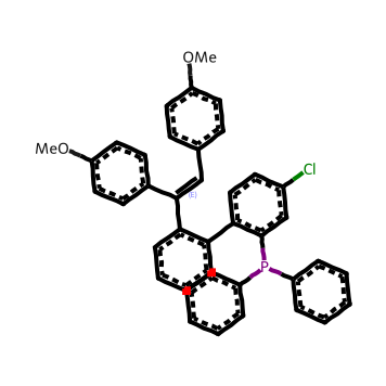 COc1ccc(/C=C(\c2ccc(OC)cc2)c2ccccc2-c2ccc(Cl)cc2P(c2ccccc2)c2ccccc2)cc1